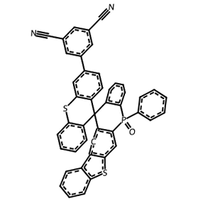 N#Cc1cc(C#N)cc(-c2ccc3c(c2)Sc2ccccc2C32c3ccccc3P(=O)(c3ccccc3)c3cc4sc5ccccc5c4cc32)c1